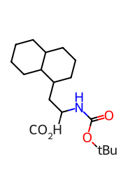 CC(C)(C)OC(=O)NC(CC1CCCC2CCCCC21)C(=O)O